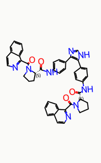 O=C(Nc1ccc(-c2nc[nH]c2-c2ccc(NC(=O)[C@@H]3CCCN3C(=O)c3nccc4ccccc34)cc2)cc1)[C@@H]1CCCN1C(=O)c1nccc2ccccc12